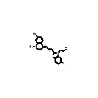 CCN1C=C/C(=C\C=C\c2sc3ccc(Cl)cc3[n+]2CC[O-])c2ccc(Br)cc21